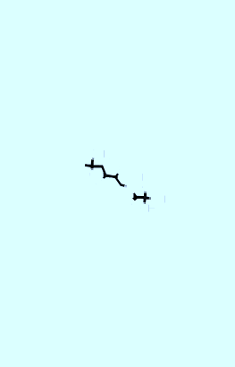 CC(C)(C)CC(O)C(O)COC(=O)C(C)(C)C